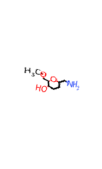 COCC1OC(CN)CCC1O